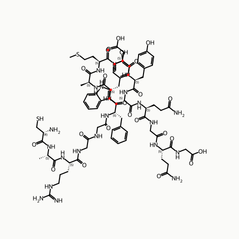 CSCC[C@H](NC(=O)[C@H](C)NC(=O)[C@H](Cc1ccc(O)cc1)NC(=O)[C@H](Cc1ccccc1)NC(=O)CNC(=O)CNC(=O)[C@H](CCCNC(=N)N)NC(=O)[C@H](C)NC(=O)[C@@H](N)CS)C(=O)N[C@@H](CC(=O)O)C(=O)N[C@@H](Cc1ccc(O)cc1)C(=O)N[C@@H](Cc1c[nH]c2ccccc12)C(=O)N[C@@H](CCC(N)=O)C(=O)NCC(=O)N[C@@H](CCC(N)=O)C(=O)NCC(=O)O